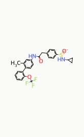 Cc1cc(NC(=O)Cc2ccc([S+]([O-])NC3CC3)cc2)ccc1-c1ccccc1OC(F)(F)F